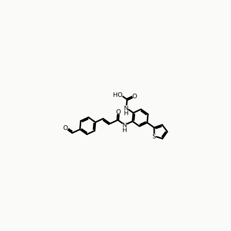 O=Cc1ccc(C=CC(=O)Nc2cc(-c3cccs3)ccc2NC(=O)O)cc1